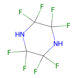 FC1(F)NC(F)(F)C(F)(F)NC1(F)F